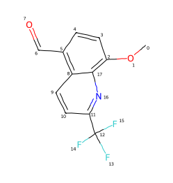 COc1ccc(C=O)c2ccc(C(F)(F)F)nc12